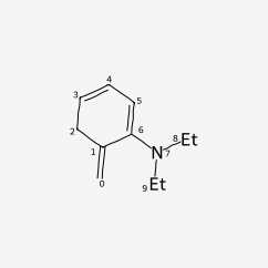 C=C1CC=CC=C1N(CC)CC